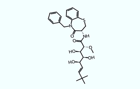 CO[C@@H](C(=O)N[C@H]1CSc2ccccc2N(Cc2ccccc2)C1=O)[C@H](O)[C@@H](O)[C@H](O)/C=C/C(C)(C)C